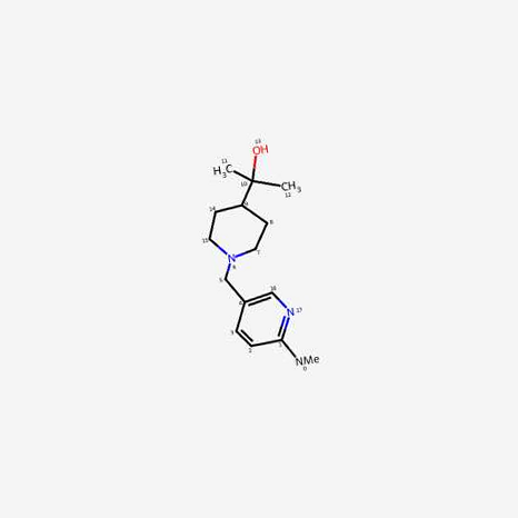 CNc1ccc(CN2CCC(C(C)(C)O)CC2)cn1